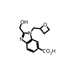 O=C(O)c1ccc2nc(CO)n(CC3CCO3)c2c1